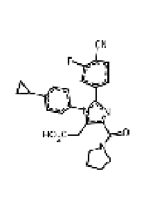 N#Cc1ccc(-c2nc(C(=O)N3CCCC3)c(CC(=O)O)n2-c2ccc(C3CC3)cc2)cc1F